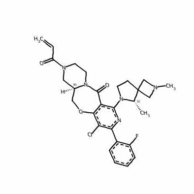 C=CC(=O)N1CCN2C(=O)c3c(N4CCC5(CN(C)C5)[C@@H]4C)nc(-c4ccccc4F)c(Cl)c3OC[C@H]2C1